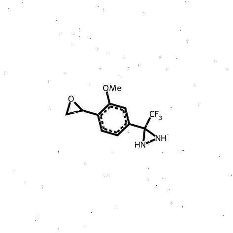 COc1cc(C2(C(F)(F)F)NN2)ccc1C1CO1